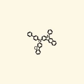 c1ccc(-c2ccc(N(c3ccc4c(c3)oc3ccccc34)c3ccc4c(c3)c3cc5ccccc5cc3n4-c3ccccc3)cc2)cc1